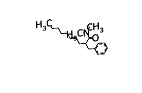 CCCCCC=CCC(Cc1ccccc1)C(=O)N(C)C